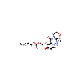 COCCOC(=O)OCOc1c2n(ccc1=O)N[C@@H]1COCCN1C2=O